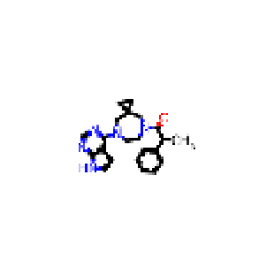 CC(C(=O)N1CCN(c2ncnc3[nH]ccc23)CC2(CC2)C1)c1ccccc1